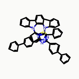 c1ccc(-c2ccc(-c3nc(-c4ccc(-c5ccccc5)cc4)nc(-n4c5ccccc5c5ccc6c7ccccc7n(-c7cccc8nc(-c9ccccc9)sc78)c6c54)n3)cc2)cc1